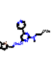 COCCN(C)c1nc(NN=Cc2cc(C)c(C)s2)cc(-c2ccncc2)n1